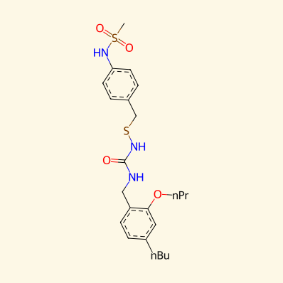 CCCCc1ccc(CNC(=O)NSCc2ccc(NS(C)(=O)=O)cc2)c(OCCC)c1